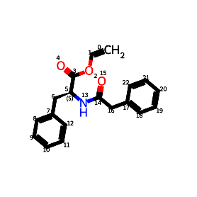 C=COC(=O)[C@H](Cc1ccccc1)NC(=O)Cc1ccccc1